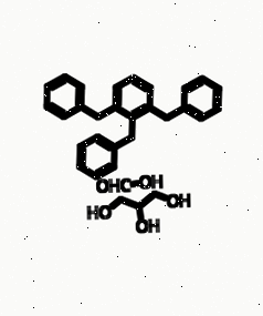 O=CO.OCC(O)CO.c1ccc(Cc2cccc(Cc3ccccc3)c2Cc2ccccc2)cc1